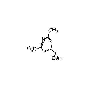 CC(=O)OCc1cc(C)nc(C)c1